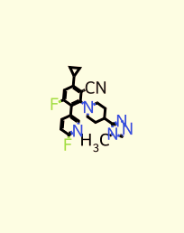 Cn1cnnc1C1CCN(c2c(C#N)c(C3CC3)cc(F)c2-c2ccc(F)nc2)CC1